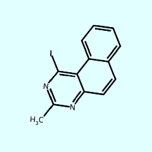 Cc1nc(I)c2c(ccc3ccccc32)n1